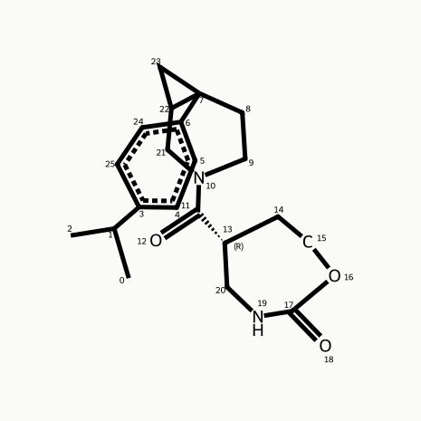 CC(C)c1ccc(C23CCN(C(=O)[C@@H]4CCOC(=O)NC4)CC2C3)cc1